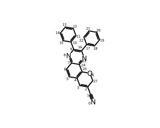 N#CC1=Cc2ccc3nc(-c4ccccc4)c(-c4ccccc4)nc3c2OC1